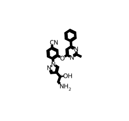 Cc1nc(Oc2cc(C#N)ccc2-n2cc([C@@H](O)CN)cn2)cc(-c2ccccc2)n1